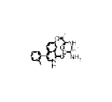 Cc1ccccc1-c1c[nH]c(=O)c2cc(O[C@H](C)C(=O)N[C@H](C)C(N)=O)ccc12